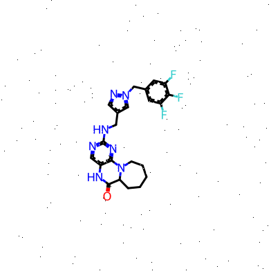 O=C1Nc2cnc(NCc3cnn(Cc4cc(F)c(F)c(F)c4)c3)nc2N2CCCCCC12